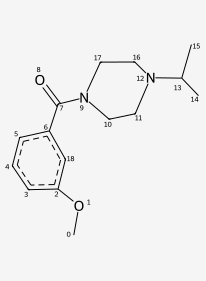 COc1cccc(C(=O)N2CCN(C(C)C)CC2)c1